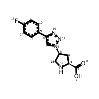 O=C(O)[C@@H]1C[C@H](n2cc(-c3ccc(F)cc3)nn2)CN1